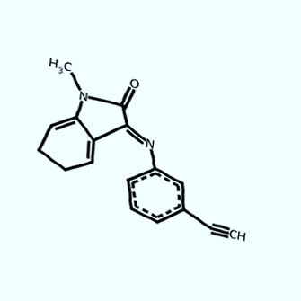 C#Cc1cccc(/N=C2/C(=O)N(C)C3=CCCC=C32)c1